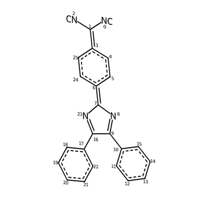 [C-]#[N+]C([N+]#[C-])=c1ccc(=C2N=C(c3ccccc3)C(c3ccccc3)=N2)cc1